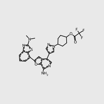 CN(C)c1nc2cccc(-c3cc4c(-c5cnn(C6CCC(OC(=O)C(F)(F)F)CC6)c5)cnc(N)c4o3)c2s1